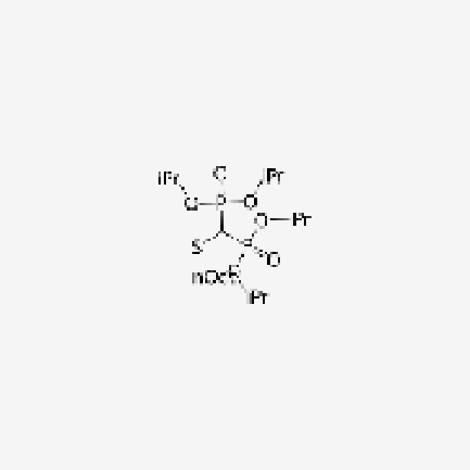 CCCCCCCCSC(P(=O)(OC(C)C)OC(C)C)P(=O)(OC(C)C)OC(C)C